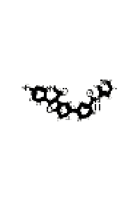 CNC(=O)c1c(-c2ccc(F)cc2)oc2ccc(-c3cccc(C(=O)Nc4cccnc4)c3)cc12